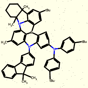 Cc1cc2c3c(c1)N1c4c(cc(C(C)(C)C)cc4C4(C)CCCCC14C)B3c1ccc(N(c3ccc(C(C)(C)C)cc3)c3ccc(C(C)(C)C)cc3)cc1N2c1ccc2c(c1)-c1ccccc1C2(C)C